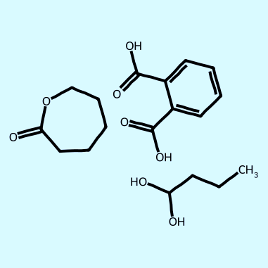 CCCC(O)O.O=C(O)c1ccccc1C(=O)O.O=C1CCCCCO1